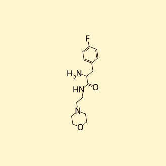 NC(Cc1ccc(F)cc1)C(=O)NCCN1CCOCC1